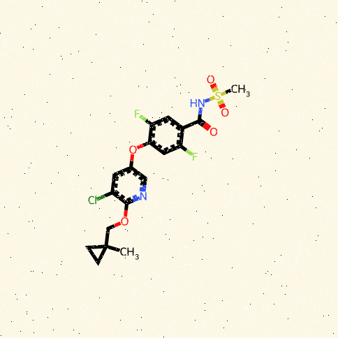 CC1(COc2ncc(Oc3cc(F)c(C(=O)NS(C)(=O)=O)cc3F)cc2Cl)CC1